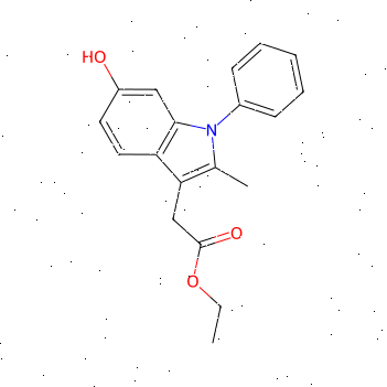 CCOC(=O)Cc1c(C)n(-c2ccccc2)c2cc(O)ccc12